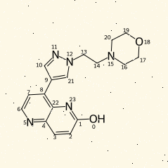 Oc1ccc2nccc(-c3cnn(CCN4CCOCC4)c3)c2n1